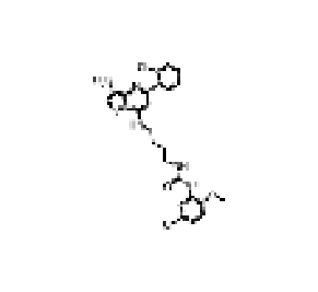 Bc1cnn2c(NCCCCNC(=O)Nc3cc(Cl)ccc3OC)cc(-c3ccccc3Cl)nc12